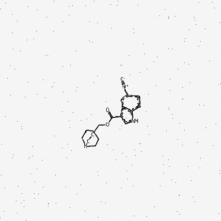 [C-]#[N+]c1ccc2[nH]cc(C(=O)OCC34CCN(CC3)CC4)c2c1